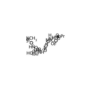 CCCS(=O)(=O)Nc1ccc(F)c(C(=O)c2c[nH]c3ncc(N4CCN(C(=O)CCC(=O)NC(C(=O)N5C[C@H](O)C[C@H]5C(=O)NCc5ccc(-c6scnc6C)cc5)C(C)(C)C)CC4)cc23)c1F